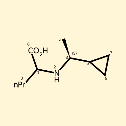 CCCC(N[C@@H](C)C1CC1)C(=O)O